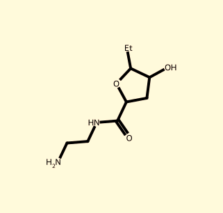 CCC1OC(C(=O)NCCN)CC1O